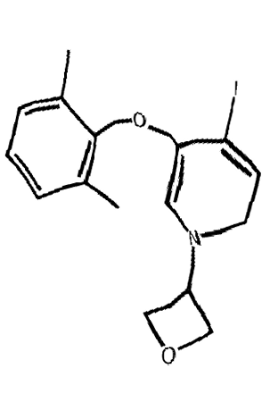 Cc1cccc(C)c1OC1=CN(C2COC2)CC=C1I